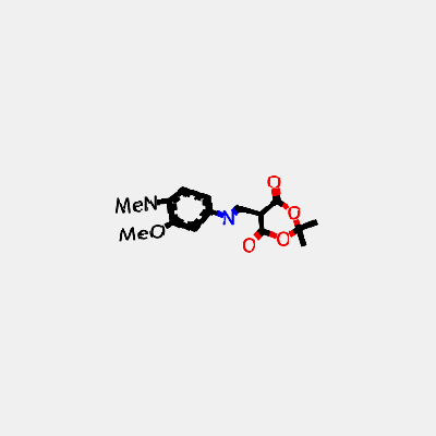 CNc1ccc(/N=C/C2C(=O)OC(C)(C)OC2=O)cc1OC